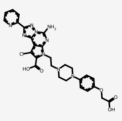 Nc1nc2c(c(Cl)c(C(=O)O)n2CCN2CCN(c3ccc(OCC(=O)O)cc3)CC2)c2nc(-c3ccccn3)nn12